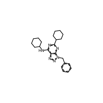 c1ccc(Cn2nnc3c(NC4CCCCC4)nc(C4CCCCC4)nc32)cc1